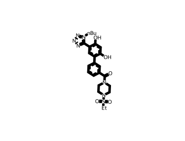 CCCCn1nnnc1-c1cc(-c2cccc(C(=O)N3CCN(S(=O)(=O)CC)CC3)c2)c(O)cc1O